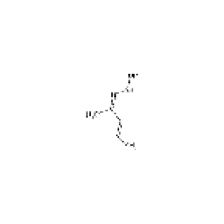 C/C=C/C(C)=N\NO